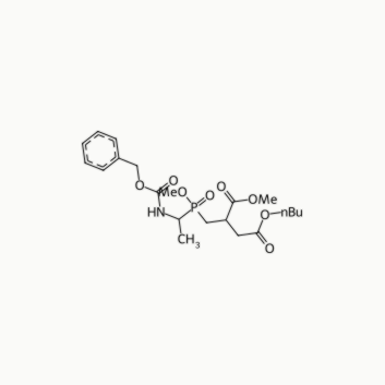 CCCCOC(=O)CC(CP(=O)(OC)C(C)NC(=O)OCc1ccccc1)C(=O)OC